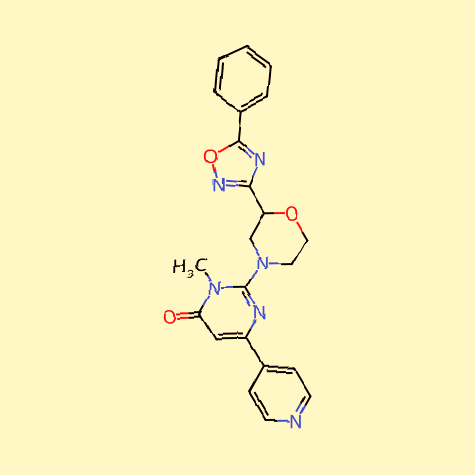 Cn1c(N2CCOC(c3noc(-c4ccccc4)n3)C2)nc(-c2ccncc2)cc1=O